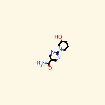 NC(=O)c1cnc(N2CCC[C@@H](O)C2)nc1